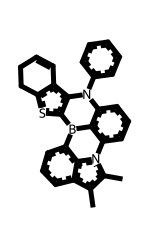 Cc1c(C)n2c3c(cccc13)B1c3sc4c(c3N(c3ccccc3)c3cccc-2c31)C=CCC4